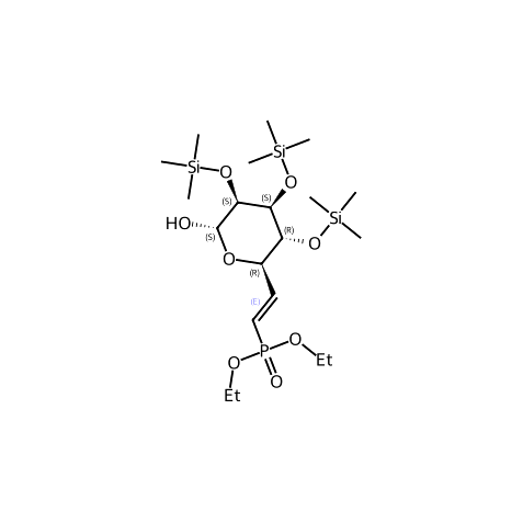 CCOP(=O)(/C=C/[C@H]1O[C@H](O)[C@@H](O[Si](C)(C)C)[C@@H](O[Si](C)(C)C)[C@@H]1O[Si](C)(C)C)OCC